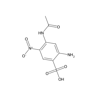 CC(=O)Nc1cc(N)c(S(=O)(=O)O)cc1[N+](=O)[O-]